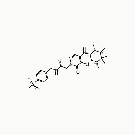 C[C@@H]1[C@@H](C)C(C)(C)[C@@H](C)C[C@H]1Nc1cnn(CC(=O)NCc2ccc(S(C)(=O)=O)cc2)c(=O)c1Cl